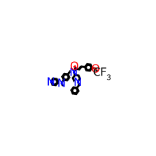 CN(c1ccncc1)c1ccc(CN(C(=O)C=Cc2ccc(OC(F)(F)F)cc2)C2CCN(Cc3ccccc3)CC2)cc1